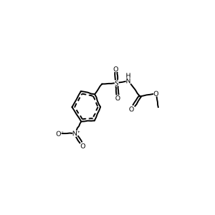 COC(=O)NS(=O)(=O)Cc1ccc([N+](=O)[O-])cc1